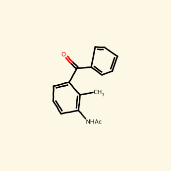 CC(=O)Nc1cccc(C(=O)c2ccccc2)c1C